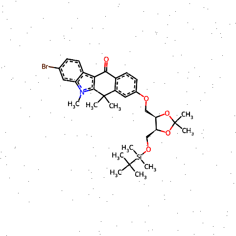 Cn1c2c(c3ccc(Br)cc31)C(=O)c1ccc(OC[C@H]3OC(C)(C)O[C@H]3CO[Si](C)(C)C(C)(C)C)cc1C2(C)C